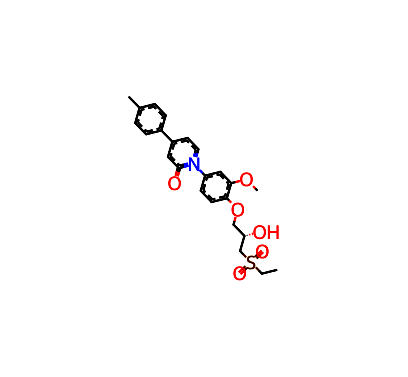 CCS(=O)(=O)C[C@@H](O)COc1ccc(-n2ccc(-c3ccc(C)cc3)cc2=O)cc1OC